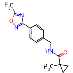 CC1(C(=O)NCc2ccc(-c3noc(C(F)(F)F)n3)cc2)CC1